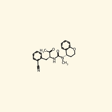 CC(=O)[C@H](Cc1ccccc1C#N)NC(=O)N(C)[C@H]1CCOc2ccccc21